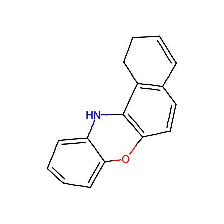 C1=Cc2ccc3c(c2CC1)Nc1ccccc1O3